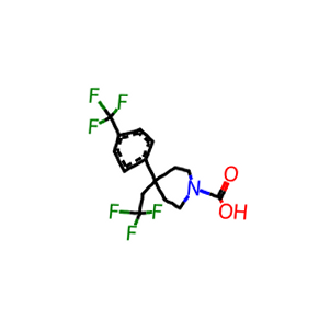 O=C(O)N1CCC(CC(F)(F)F)(c2ccc(C(F)(F)F)cc2)CC1